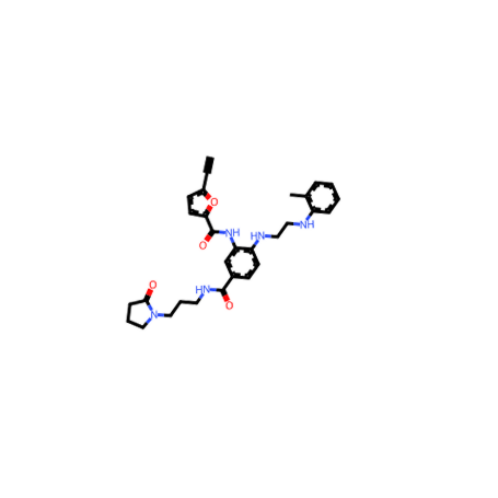 C#Cc1ccc(C(=O)Nc2cc(C(=O)NCCCN3CCCC3=O)ccc2NCCNc2ccccc2C)o1